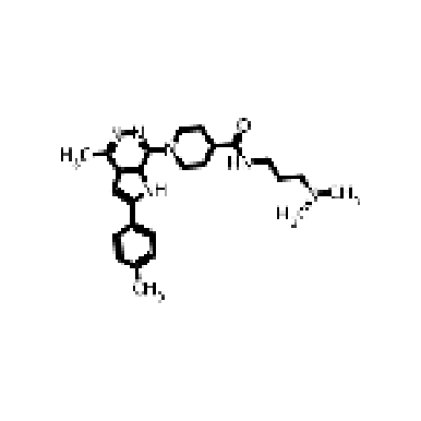 CC1=NN=C(N2CCC(C(=O)NCCCN(C)C)CC2)C2NC(c3ccc(C)cc3)=CC12